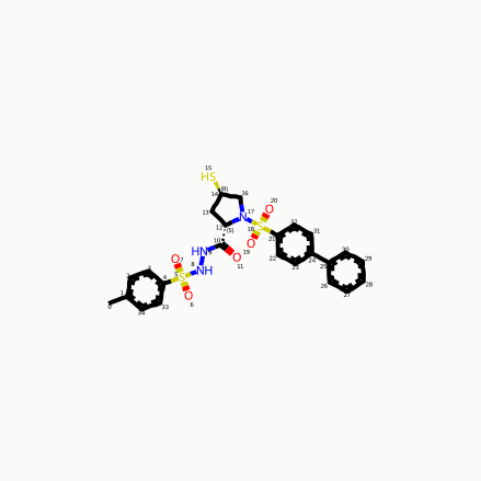 Cc1ccc(S(=O)(=O)NNC(=O)[C@@H]2C[C@@H](S)CN2S(=O)(=O)c2ccc(-c3ccccc3)cc2)cc1